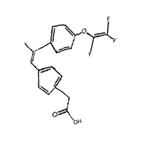 CC(=Cc1ccc(CC(=O)O)cc1)c1ccc(OC(F)=C(F)F)cc1